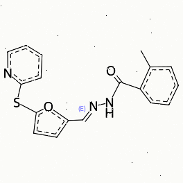 Cc1ccccc1C(=O)N/N=C/c1ccc(Sc2ccccn2)o1